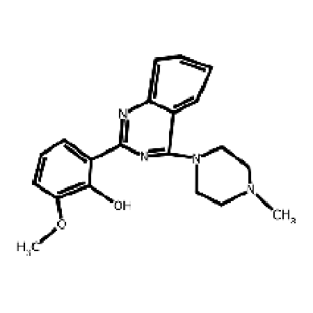 COc1cccc(-c2nc(N3CCN(C)CC3)c3ccccc3n2)c1O